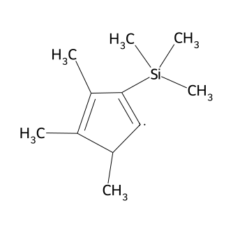 CC1=C(C)C(C)[C]=C1[Si](C)(C)C